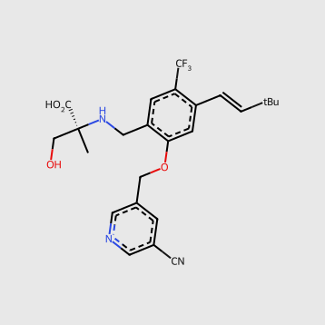 CC(C)(C)/C=C/c1cc(OCc2cncc(C#N)c2)c(CN[C@@](C)(CO)C(=O)O)cc1C(F)(F)F